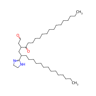 CCCCCCCCCCCCCCCC(=O)C(CC=O)CC(CCCCCCCCCCCCCC)C1=NCCN1